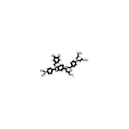 [CH2]CN(C[CH2])c1ccc(-c2nc3cc(C(CC(N)=O)NCc4ccc(N(CCOC(C)=O)CCOC(C)=O)cc4)ccc3n2Cc2ccc(Cl)c(Cl)c2)cc1